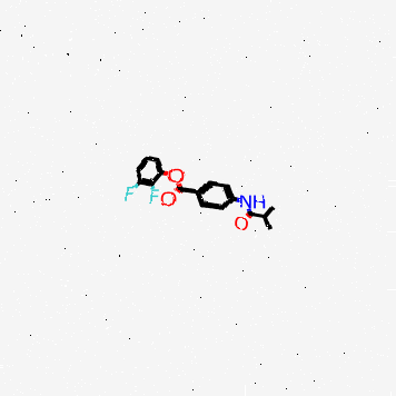 CC(C)C(=O)Nc1ccc(C(=O)Oc2cccc(F)c2F)cc1